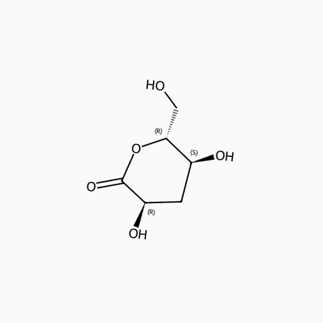 O=C1O[C@H](CO)[C@@H](O)C[C@H]1O